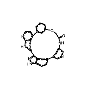 O=C1COc2cccc(c2)-c2ccnc3[nH]c(nc23)-c2n[nH]c3ccc(cc23)-c2cncc(c2)N1